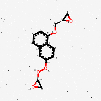 c1cc(OC[C@H]2CO2)c2ccc(OO[C@H]3CO3)cc2c1